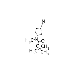 CN(C(=O)OC(C)(C)C)C1CCC(C#N)CC1